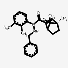 Cc1cccc(N(NCc2ccccc2)C(=O)C2=C[C@@]3(C)CCC2C3(C)C)c1C